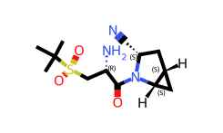 CC(C)(C)S(=O)(=O)C[C@H](N)C(=O)N1[C@H](C#N)C[C@@H]2C[C@@H]21